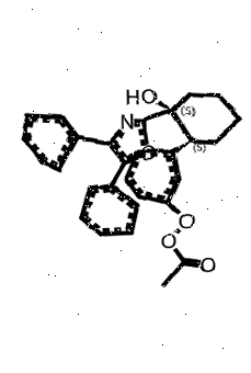 CC(=O)OOc1cccc([C@@H]2CCCC[C@@]2(O)c2nc(-c3ccccc3)c(-c3ccccc3)o2)c1